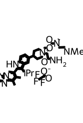 CNCCN(C)C(=O)OC[N+]1(CC(N)=O)CCC(c2ccc3[nH]c(-c4cn5ncnc5c(C)c4C)c(C(C)C)c3c2)CC1.O=C([O-])C(F)(F)F